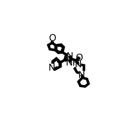 O=C1CCc2cc(-c3nc(C(=O)N4CCN(C5CCCCC5)CC4)[nH]c3-c3ccncc3)ccc21